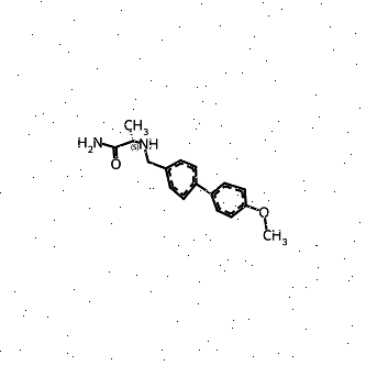 COc1ccc(-c2ccc(CN[C@@H](C)C(N)=O)cc2)cc1